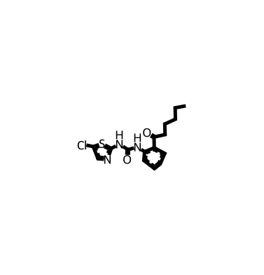 CCCCCC(=O)c1ccccc1NC(=O)Nc1ncc(Cl)s1